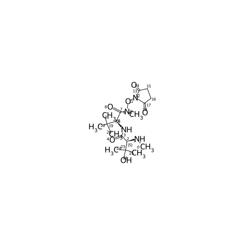 CN[C@H](C(=O)N[C@H](C(=O)N(C)ON1C(=O)CCC1=O)C(C)(C)C)C(C)(C)O